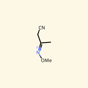 CO/N=C(\C)CC#N